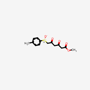 COC(=O)CC(=O)CC(=O)C[S@@+]([O-])c1ccc(C)cc1